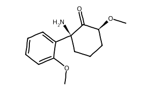 COc1ccccc1[C@@]1(N)CCC[C@H](OC)C1=O